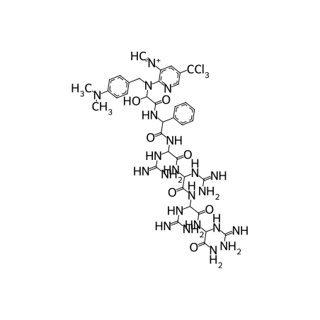 C#[N+]c1cc(C(Cl)(Cl)Cl)cnc1N(Cc1ccc(N(C)C)cc1)C(O)C(=O)NC(C(=O)NC(NC(=N)N)C(=O)NC(NC(=N)N)C(=O)NC(NC(=N)N)C(=O)NC(NC(=N)N)C(N)=O)c1ccccc1